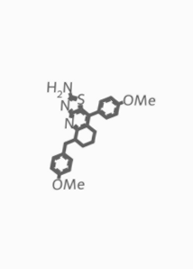 COc1ccc(CC2CCCc3c2nc2nc(N)sc2c3-c2ccc(OC)cc2)cc1